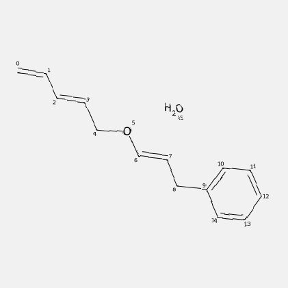 C=CC=CCOC=CCc1ccccc1.O